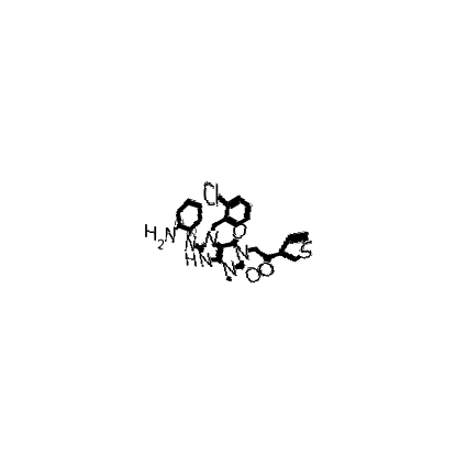 Cn1c(=O)n(CC(=O)c2ccsc2)c(=O)c2c1nc(N[C@@H]1CCCC[C@@H]1N)n2Cc1ccccc1Cl